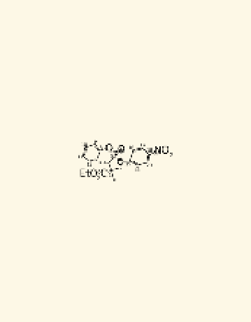 CCOC(=O)C(C)(C)CP(=O)(Oc1ccccc1)Oc1ccc([N+](=O)[O-])cc1